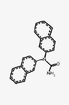 NC(=O)N(c1ccc2ccccc2c1)c1ccc2ccccc2c1